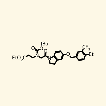 CCOC(=O)CCN(CC(=O)N1CCc2cc(OCc3ccc(CC)c(C(F)(F)F)c3)ccc21)C(=O)OC(C)(C)C